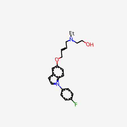 CCN(CC=CCOc1ccc2c(ccn2-c2ccc(F)cc2)c1)CCO